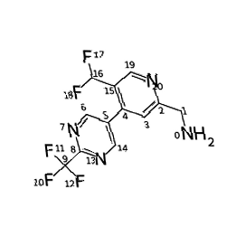 NCc1cc(-c2cnc(C(F)(F)F)nc2)c(C(F)F)cn1